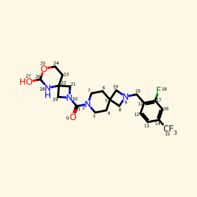 O=C(N1CCC2(CC1)CN(Cc1ccc(C(F)(F)F)cc1F)C2)N1CC2(CCOC(O)N2)C1